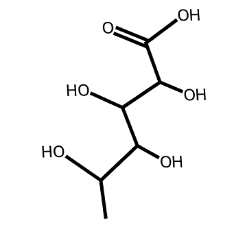 CC(O)C(O)C(O)C(O)C(=O)O